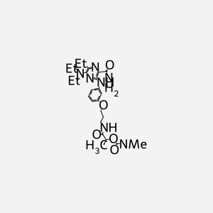 CCc1nc(C(N)=O)c(Nc2cccc(OCCCNC(=O)[C@H](C)OC(=O)NC)c2)nc1N(CC)CC